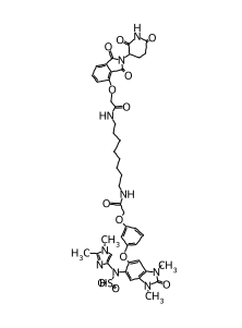 Cc1nc(N(c2cc3c(cc2Oc2cccc(OCC(=O)NCCCCCCCCNC(=O)COc4cccc5c4C(=O)N(C4CCC(=O)NC4=O)C5=O)c2)n(C)c(=O)n3C)[SH](=O)=O)cn1C